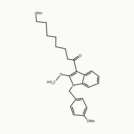 CCCCCCCCCCCCCCCCCC(=O)c1c(OC(=O)O)n(Cc2ccc(OC)cc2)c2ccccc12